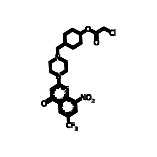 O=C(CCl)OC1CCC(CN2CCN(c3cc(=O)c4cc(C(F)(F)F)cc([N+](=O)[O-])c4s3)CC2)CC1